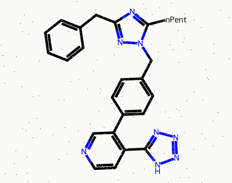 CCCCCc1nc(Cc2ccccc2)nn1Cc1ccc(-c2cnccc2-c2nnn[nH]2)cc1